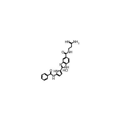 Cl.N=C(N)CCNC(=O)c1ccc2[nH]c(-c3ccc(NC(=O)c4ccccc4)[nH]3)nc2c1